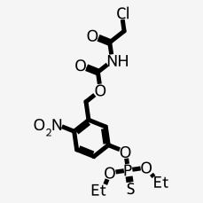 CCOP(=S)(OCC)Oc1ccc([N+](=O)[O-])c(COC(=O)NC(=O)CCl)c1